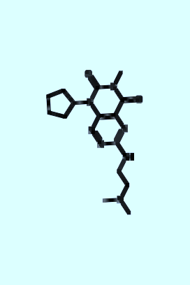 CN(C)CCNc1nnc2c(n1)c(=O)n(C)c(=O)n2C1CCCC1